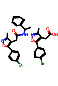 Cc1noc(-c2ccc(Br)cc2)c1CC(=O)NC(C)c1ccccc1.Cc1noc(-c2ccc(Br)cc2)c1CC(=O)O